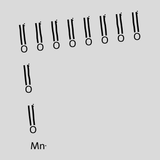 [C]=O.[C]=O.[C]=O.[C]=O.[C]=O.[C]=O.[C]=O.[C]=O.[C]=O.[C]=O.[Mn]